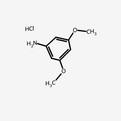 COc1cc(N)cc(OC)c1.Cl